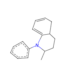 CC1CCC2CC=CC=C2N1c1ccccc1